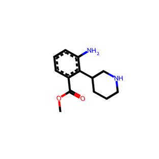 COC(=O)c1cccc(N)c1C1CCCNC1